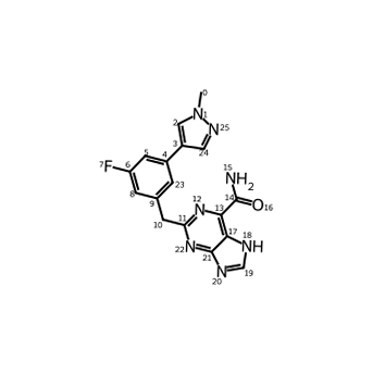 Cn1cc(-c2cc(F)cc(Cc3nc(C(N)=O)c4[nH]cnc4n3)c2)cn1